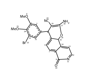 COc1cc(C2C3=CC=C4C(=O)N=CC=C4C3OC(N)=C2C#N)cc(Br)c1OC